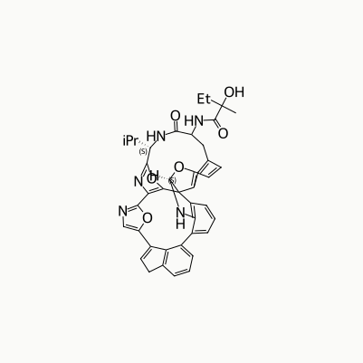 CCC(C)(O)C(=O)NC1Cc2ccc3c(c2)C24c5cccc(c5N[C@H]2O3)-c2cccc3c2C(=CC3)c2cnc(o2)-c2nc(oc24)[C@H](C(C)C)NC1=O